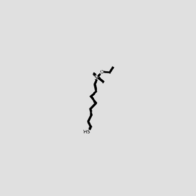 CCO[Si](C)(C)CCCCCCCCS